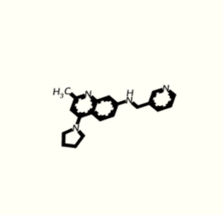 Cc1cc(N2CCCC2)c2ccc(NCc3cccnc3)cc2n1